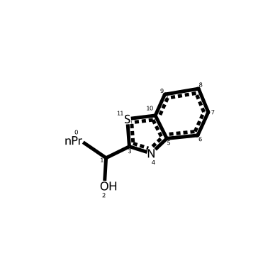 CCCC(O)c1nc2ccccc2s1